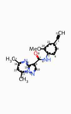 C#Cc1ccc(NC(=O)c2cnn3c(C)cc(C)nc23)c(OC)c1